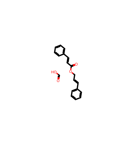 O=C(C=Cc1ccccc1)OCC=Cc1ccccc1.O=CO